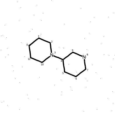 [CH]1CCN(C2CCC[N]C2)CC1